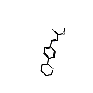 COC(=O)/C=C/c1ccc(C2CCCCN2)cc1